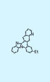 CCc1ccc2c(c1)c1cc3ncccc3cc1c1nc3ccccc3n21